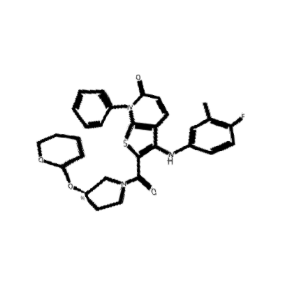 Cc1cc(Nc2c(C(=O)N3CC[C@@H](OC4CCCCO4)C3)sc3c2ccc(=O)n3-c2ccccc2)ccc1F